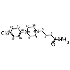 NC(=O)CCCN1CCN(c2ccc(Cl)cc2)CC1